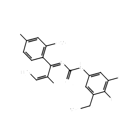 C=C(/N=C(\C(F)=C/N)c1ccc(F)cc1OC)Nc1cc(F)c(F)c(CSC)c1